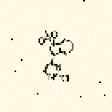 CS(=O)(=O)n1cc(-c2ccnc(Cl)n2)c2ccccc21